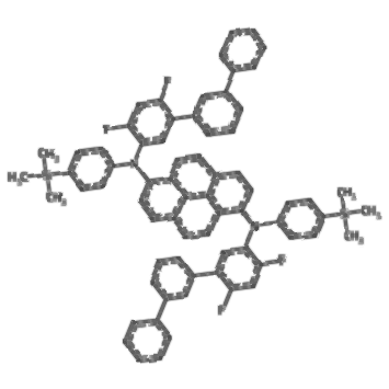 C[Si](C)(C)c1ccc(N(c2cc(-c3cccc(-c4ccccc4)c3)c(F)cc2F)c2ccc3ccc4c(N(c5ccc([Si](C)(C)C)cc5)c5cc(-c6cccc(-c7ccccc7)c6)c(F)cc5F)ccc5ccc2c3c54)cc1